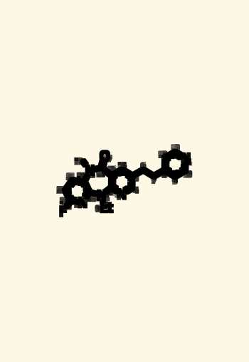 CCN1c2ncc(CCc3ccncc3)cc2C(=O)N(C)c2ccc(F)nc21